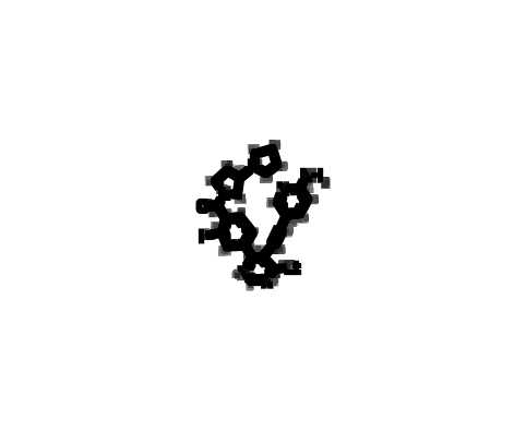 CCc1ncnc(-c2ccc(C(=O)N3CCC(N4CCCC4)C3)c(F)c2)c1C#Cc1ccc(N)nc1